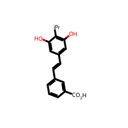 CC(C)c1c(O)cc(C=Cc2cccc(C(=O)O)c2)cc1O